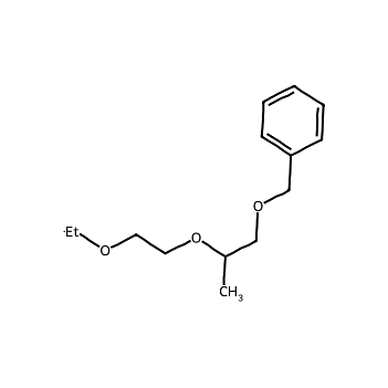 C[CH]OCCOC(C)COCc1ccccc1